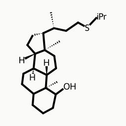 CC(C)SCC[C@@H](C)[C@H]1CC[C@H]2[C@@H]3CCC4CCCC(O)[C@]4(C)[C@H]3CC[C@]12C